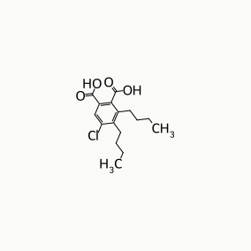 CCCCc1c(Cl)cc(C(=O)O)c(C(=O)O)c1CCCC